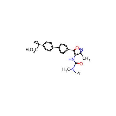 CCOC(=O)C1(c2ccc(-c3ccc(-c4onc(C)c4NC(=O)N(C)C(C)C)cc3)cc2)CC1